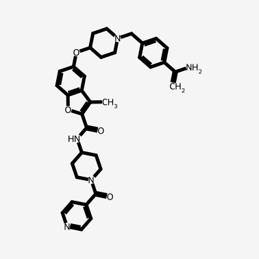 C=C(N)c1ccc(CN2CCC(Oc3ccc4oc(C(=O)NC5CCN(C(=O)c6ccncc6)CC5)c(C)c4c3)CC2)cc1